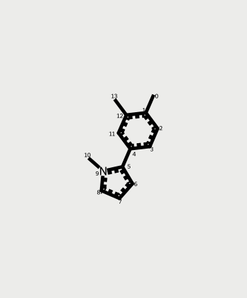 Cc1ccc(-c2cc[c]n2C)cc1C